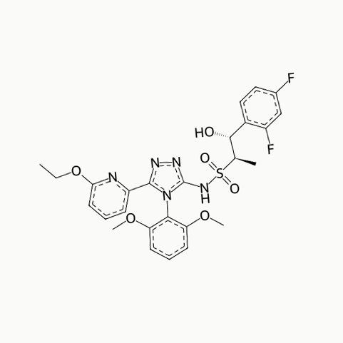 CCOc1cccc(-c2nnc(NS(=O)(=O)[C@H](C)[C@H](O)c3ccc(F)cc3F)n2-c2c(OC)cccc2OC)n1